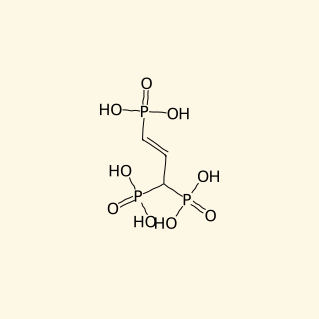 O=P(O)(O)C=CC(P(=O)(O)O)P(=O)(O)O